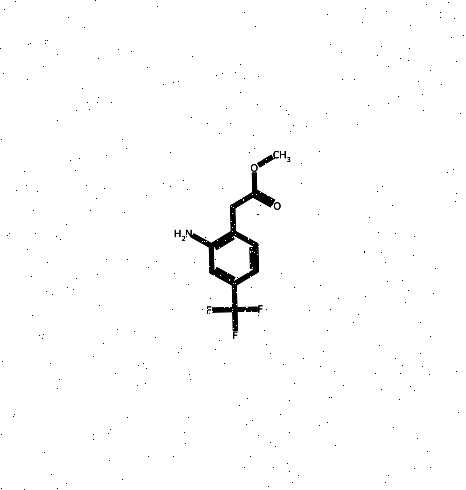 COC(=O)Cc1ccc(C(F)(F)F)cc1N